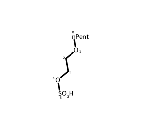 CCCCCOCCOS(=O)(=O)O